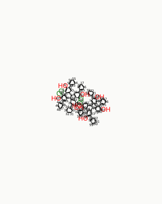 Oc1c(Cl)cc(C(c2cc(Cl)c(O)c(-c3ccccc3)c2)C(c2cc(Cl)c(O)c(-c3ccccc3)c2)c2cc(Cl)c(O)c(-c3ccccc3)c2)cc1-c1ccccc1.Oc1ccc(C(c2ccc(O)c(-c3ccccc3)c2)C(c2ccc(O)c(-c3ccccc3)c2)c2ccc(O)c(-c3ccccc3)c2)cc1-c1ccccc1